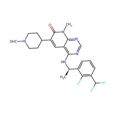 C[C@@H](Nc1ncnc2c1cc(C1CCN(C=O)CC1)c(=O)n2C)c1cccc(C(F)F)c1F